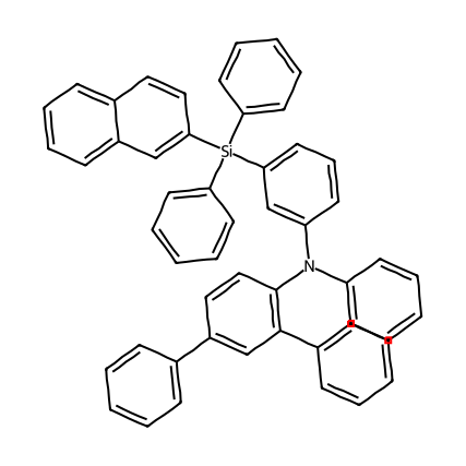 c1ccc(-c2ccc(N(c3ccccc3)c3cccc([Si](c4ccccc4)(c4ccccc4)c4ccc5ccccc5c4)c3)c(-c3ccccc3)c2)cc1